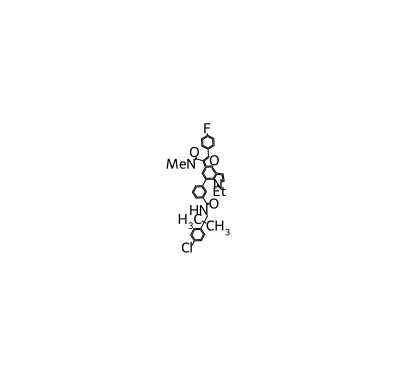 CCn1ccc2c3oc(-c4ccc(F)cc4)c(C(=O)NC)c3cc(-c3cccc(C(=O)NCC(C)(C)c4ccc(Cl)cc4)c3)c21